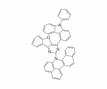 c1ccc(-n2c3ccccc3c3c(-c4nc(N5c6c(ccc7ccccc67)-c6cccc7cccc5c67)nc5c4oc4ccccc45)cccc32)cc1